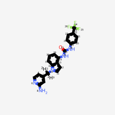 [2H]C([2H])(c1ccnc(N)c1)n1ccc2c(NC(=O)Nc3ccc(C(F)(F)F)cc3)cccc21